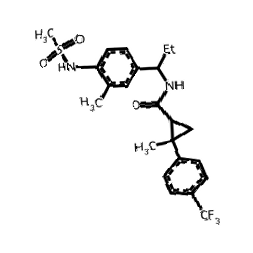 CCC(NC(=O)C1CC1(C)c1ccc(C(F)(F)F)cc1)c1ccc(NS(C)(=O)=O)c(C)c1